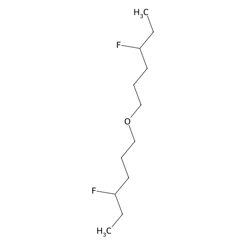 CCC(F)CCCOCCCC(F)CC